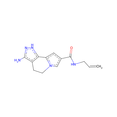 C=CCNC(=O)c1cc2n(c1)CCc1c(N)n[nH]c1-2